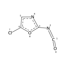 O=C=Nc1ncc(Cl)o1